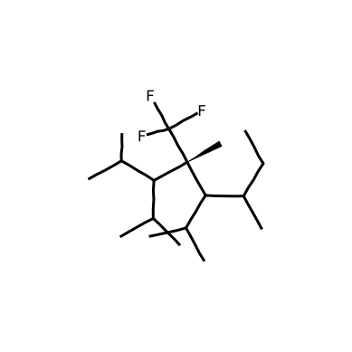 CCC(C)C(C(C)C)[C@](C)(C(C(C)C)C(C)C)C(F)(F)F